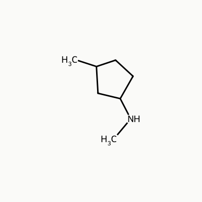 CNC1CCC(C)C1